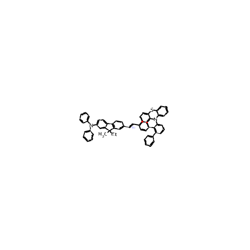 CCC1(C)c2cc(/C=C/c3ccc(-c4c(-c5ccccc5)cccc4N4c5ccccc5Sc5ccccc54)cc3)ccc2-c2ccc(N(c3ccccc3)c3ccccc3)cc21